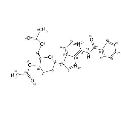 CC(=O)OC[C@H]1OC(n2cnc3c(NC(=O)c4ccccc4)ncnc32)CC[C@@H]1OC(C)=O